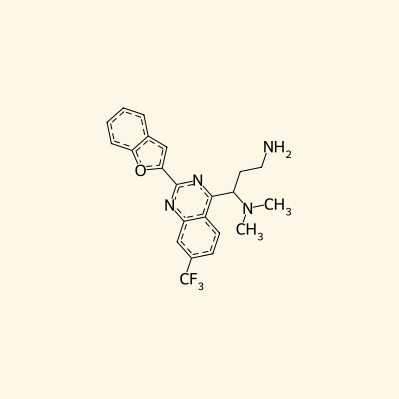 CN(C)C(CCN)c1nc(-c2cc3ccccc3o2)nc2cc(C(F)(F)F)ccc12